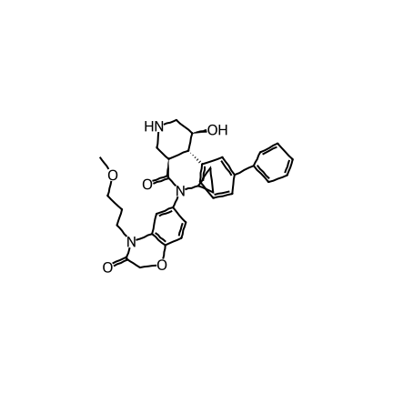 COCCCN1C(=O)COc2ccc(N(C(=O)[C@H]3CNC[C@@H](O)[C@@H]3c3cccc(-c4ccccc4)c3)C3CC3)cc21